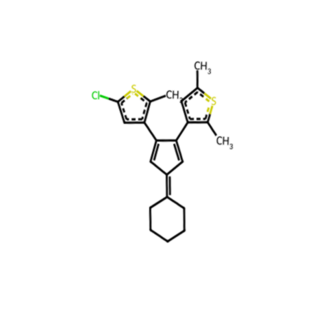 Cc1cc(C2=CC(=C3CCCCC3)C=C2c2cc(Cl)sc2C)c(C)s1